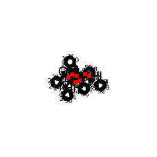 CCC1CCCC2C1C1C3CCCCC3C2[C@@H](NC(=O)c2ccccc2P(c2ccccc2)c2ccccc2)[C@@H]1NC(O)c1ccccc1P(c1ccccc1)c1ccccc1